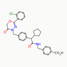 O=C(O)c1ccc(CNC(=O)C(c2ccc(CN3N=C(c4ccccc4Cl)OCC3=O)cc2)C2CCCC2)cc1